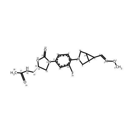 CON=CC1C2CN(c3ccc(N4C[C@H](CNC(C)=O)OC4=O)cc3F)CC12